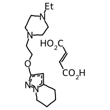 CCN1CCN(CCOc2cc3n(n2)CCCC3)CC1.O=C(O)C=CC(=O)O